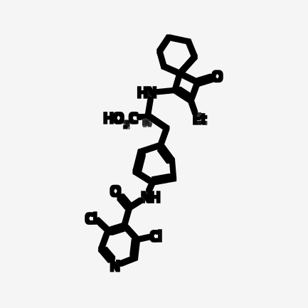 CCC1=C(N[C@@H](Cc2ccc(NC(=O)c3c(Cl)cncc3Cl)cc2)C(=O)O)C2(CCCCC2)C1=O